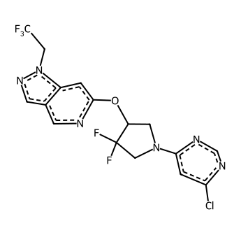 FC(F)(F)Cn1ncc2cnc(OC3CN(c4cc(Cl)ncn4)CC3(F)F)cc21